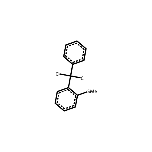 CSc1ccccc1C(Cl)(Cl)c1ccccc1